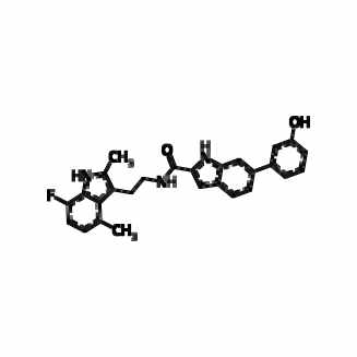 Cc1[nH]c2c(F)ccc(C)c2c1CCNC(=O)c1cc2ccc(-c3cccc(O)c3)cc2[nH]1